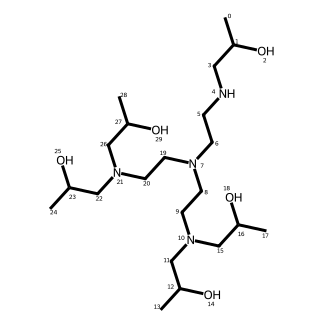 CC(O)CNCCN(CCN(CC(C)O)CC(C)O)CCN(CC(C)O)CC(C)O